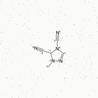 CN1N=CN(C#N)C1C#N